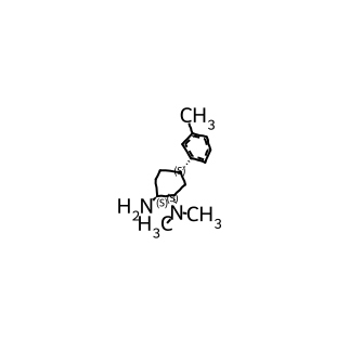 Cc1cccc([C@H]2CC[C@H](N)[C@@H](N(C)C)C2)c1